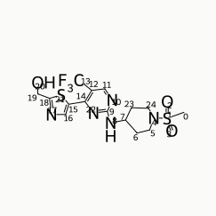 CS(=O)(=O)N1CCC(Nc2ncc(C(F)(F)F)c(-c3cnc(CO)s3)n2)CC1